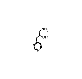 NCC(O)Cc1ccncc1